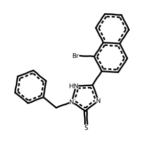 S=c1nc(-c2ccc3ccccc3c2Br)[nH]n1Cc1ccccc1